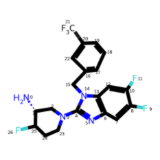 N[C@@H]1CN(c2nc3cc(F)c(F)cc3n2Cc2cccc(C(F)(F)F)c2)CCC1F